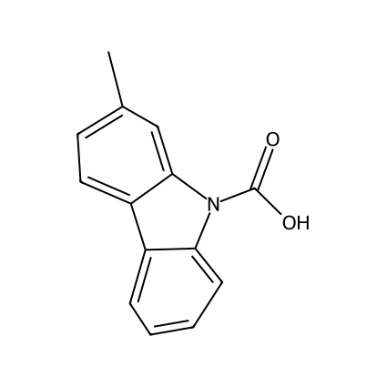 Cc1ccc2c3ccccc3n(C(=O)O)c2c1